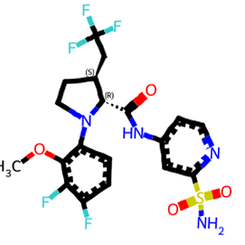 COc1c(N2CC[C@@H](CC(F)(F)F)[C@@H]2C(=O)Nc2ccnc(S(N)(=O)=O)c2)ccc(F)c1F